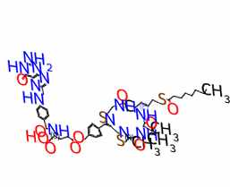 CCCCCCCC(=O)SCC/C=C/C1CC(=O)NCc2nc(c(-c3ccc(COC(=O)CC[C@H](NC(=O)c4ccc(NCc5cnc6nc(N)[nH]c(=O)c6n5)cc4)C(=O)O)cc3)s2)C2=N[C@@](C)(CS2)C(=O)NC(C(C)C)C(=O)N1